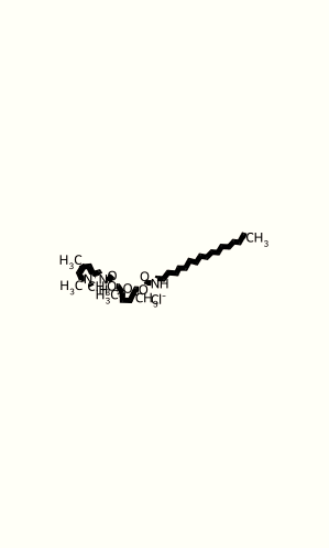 CCCCCCCCCCCCCCCCCCNC(=O)OC[C@@]1(C)CC[C@@](C)(COC(=O)NCc2cc(C)cc(C)[n+]2C)O1.[Cl-]